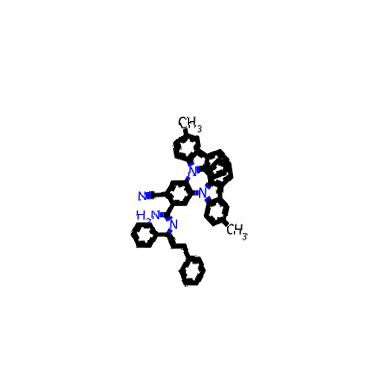 Cc1ccc2c(c1)c1ccccc1n2-c1cc(C#N)c(/C(N)=N/C(=C\Cc2ccccc2)c2ccccc2)cc1-n1c2ccccc2c2cc(C)ccc21